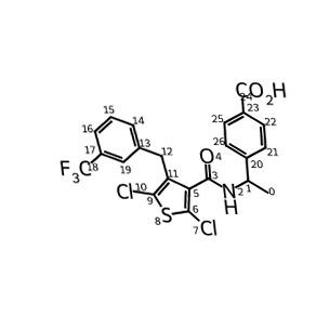 CC(NC(=O)c1c(Cl)sc(Cl)c1Cc1cccc(C(F)(F)F)c1)c1ccc(C(=O)O)cc1